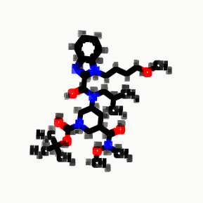 COCCCCn1c(C(=O)N(CC(C)C)C2CC(C(=O)N(C)OC)CN(C(=O)OC(C)(C)C)C2)nc2ccccc21